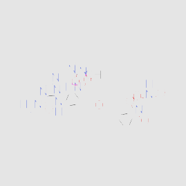 CN1CCN([C@@H]2CCCN(c3cnc(C(N)=O)c(Nc4cccc(NC(=O)[C@H]5C[C@@H](OCCCc6cccc7c6C(=O)N(C6CCC(=O)NC6=O)C7=O)C5)c4)n3)C2)C1=O